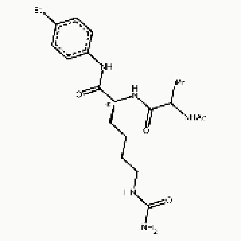 CCc1ccc(NC(=O)[C@H](CCCCNC(N)=O)NC(=O)C(NC(C)=O)C(C)C)cc1